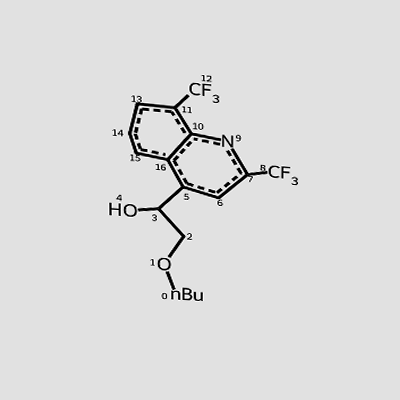 CCCCOCC(O)c1cc(C(F)(F)F)nc2c(C(F)(F)F)cccc12